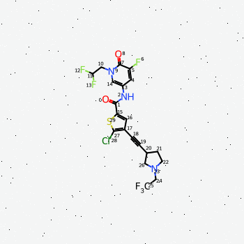 O=C(Nc1cc(F)c(=O)n(CC(F)F)c1)c1cc(C#CC2CCN(CC(F)(F)F)C2)c(Cl)s1